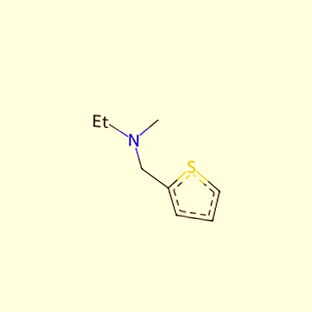 [CH2]CN(C)Cc1cccs1